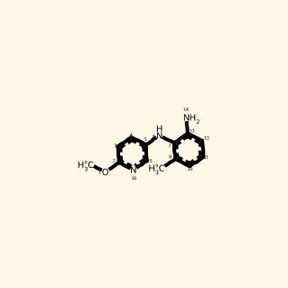 COc1ccc(Nc2c(C)cccc2N)cn1